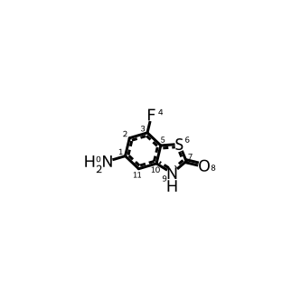 Nc1cc(F)c2sc(=O)[nH]c2c1